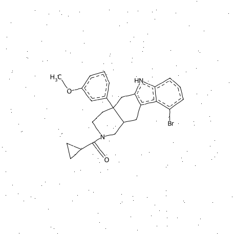 COc1cccc(C23CCN(C(=O)C4CC4)CC2Cc2c([nH]c4cccc(Br)c24)C3)c1